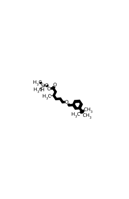 C[C@@H](CCCOCc1cccc(C(C)(C)C)c1)CC(=O)OO[SiH](C)C